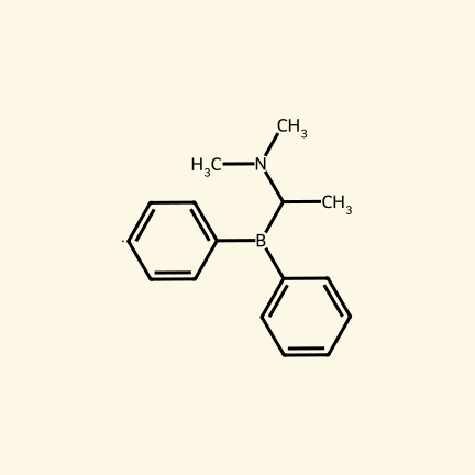 CC(B(c1cc[c]cc1)c1ccccc1)N(C)C